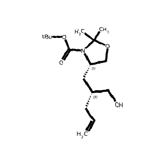 C=CC[C@@H](CO)C[C@H]1COC(C)(C)N1C(=O)OC(C)(C)C